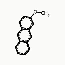 COc1[c]cc2cc3ccccc3cc2c1